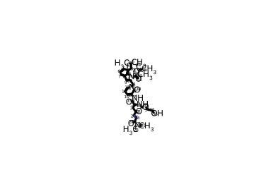 CC(C)Cc1cccc2cc(Cn3cccc(NC(=O)C(CC/C=C/C(=O)N(C)C)NC(=O)OCCO)c3=O)n(C(=O)OC(C)(C)C)c12